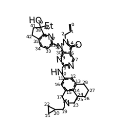 C=CCn1c(=O)c2cnc(Nc3cc4c5c(c3)CN(CC3CC3)CC5(C)CCC4)nc2n1-c1ccc2c(n1)C(O)(CC)CC2